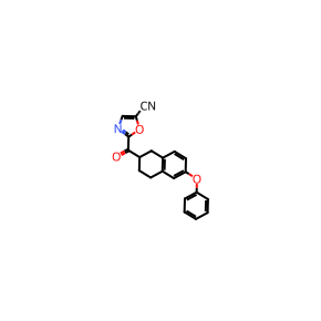 N#Cc1cnc(C(=O)C2CCc3cc(Oc4ccccc4)ccc3C2)o1